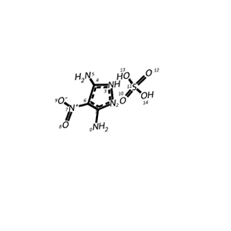 Nc1n[nH]c(N)c1[N+](=O)[O-].O=S(=O)(O)O